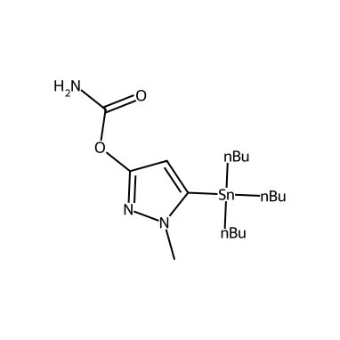 CCC[CH2][Sn]([CH2]CCC)([CH2]CCC)[c]1cc(OC(N)=O)nn1C